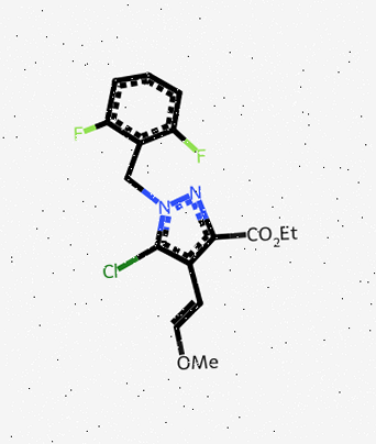 CCOC(=O)c1nn(Cc2c(F)cccc2F)c(Cl)c1C=COC